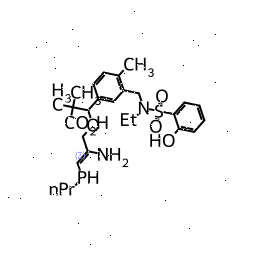 CCCP/C=C(\N)COC(c1ccc(C)c(CN(CC)S(=O)(=O)c2ccccc2O)c1)C(C)(C)C(=O)O